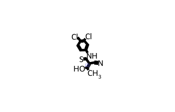 C/C(O)=C(\C#N)C(=S)Nc1ccc(Cl)c(Cl)c1